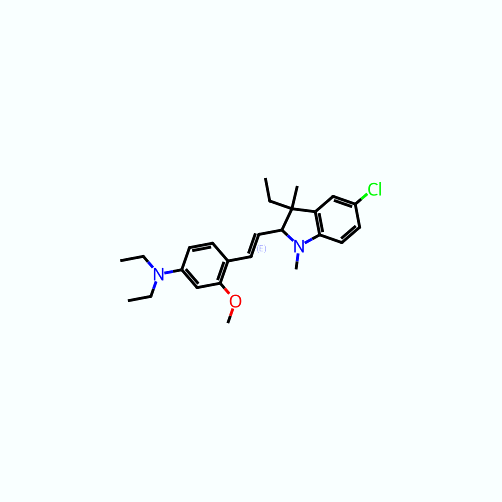 CCN(CC)c1ccc(/C=C/C2N(C)c3ccc(Cl)cc3C2(C)CC)c(OC)c1